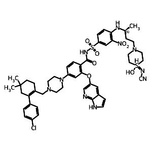 C[C@@H](CCN1CC[SH](O)(=NC#N)CC1)Nc1ccc(S(=O)(=O)NC(=O)c2ccc(N3CCN(CC4=C(c5ccc(Cl)cc5)CC(C)(C)CC4)CC3)cc2Oc2cnc3[nH]ccc3c2)cc1[N+](=O)[O-]